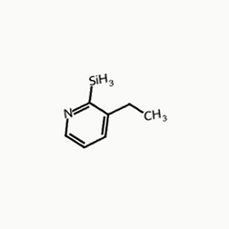 CCc1cccnc1[SiH3]